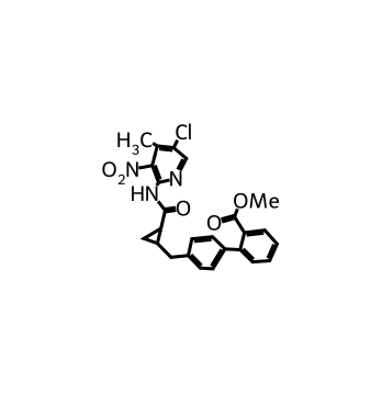 COC(=O)c1ccccc1-c1ccc(CC2CC2C(=O)Nc2ncc(Cl)c(C)c2[N+](=O)[O-])cc1